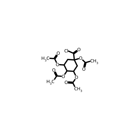 CC(=O)OC1CC(OC(C)=O)(C(=O)Cl)CC(OC(C)=O)C1OC(C)=O